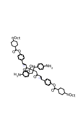 CCCCCCCCC1CCC(C(=O)Oc2ccc(/C=C/C(=O)CC(Cc3ccc(N)cc3)(Cc3ccc(N)cc3)C(O)(O)C(=O)/C=C/c3ccc(OC(=O)C4CCC(CCCCCCCC)CC4)cc3)cc2)CC1